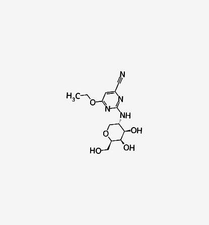 CCOc1cc(C#N)nc(N[C@H]2CO[C@H](CO)[C@H](O)[C@@H]2O)n1